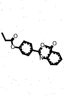 CCC(=O)Oc1ccc(-c2nc3ccccc3c(=O)o2)cc1